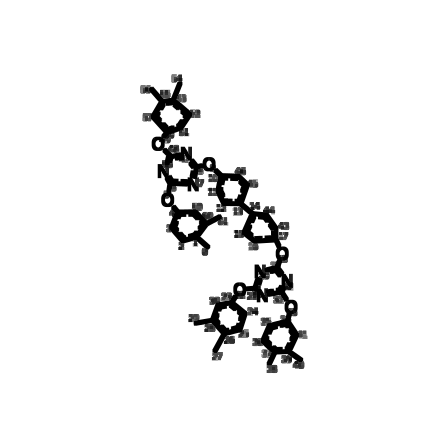 Cc1ccc(Oc2nc(Oc3ccc(-c4ccc(Oc5nc(Oc6ccc(C)c(C)c6)nc(Oc6ccc(C)c(C)c6)n5)cc4)cc3)nc(Oc3ccc(C)c(C)c3)n2)cc1C